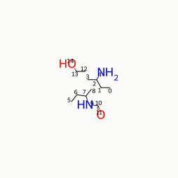 CCC(C)N.CCC(C)NC=O.CCO